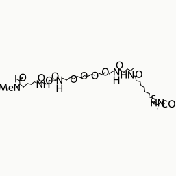 CNC(CCCCNC(=O)COCC(=O)NCCCOCCOCCOCCOCCNC(=O)CCC(C)NC(=O)CCCCCCCSCC(C)NC(=O)O)C(=O)I